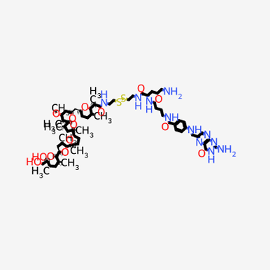 COC1C[C@@H](C[C@H]2CCC(C)C([C@@H](C)C(=O)NCCSSCCNC(=O)C(CCCN)NC(=O)CCCNC(=O)c3ccc(NCc4cnc5nc(N)[nH]c(=O)c5n4)cc3)O2)O[C@]2(O[C@@](C)(C3CC[C@@](C)(C4O[C@@H]([C@@H]5O[C@@](O)(CO)C(C)C[C@@H]5C)CC4C)O3)C[C@H]2C)[C@@H]1C